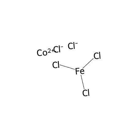 [Cl-].[Cl-].[Cl][Fe]([Cl])[Cl].[Co+2]